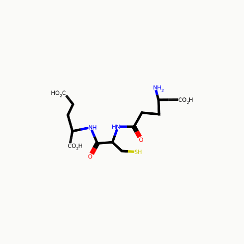 NC(CCC(=O)NC(CS)C(=O)NC(CCC(=O)O)C(=O)O)C(=O)O